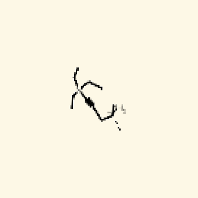 CCS(C#CC[C@@H](C)N)(CC)CC